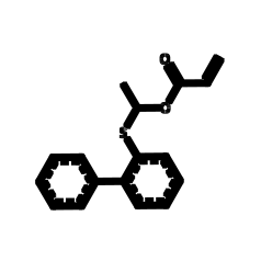 C=CC(=O)OC(C)Sc1ccccc1-c1ccccc1